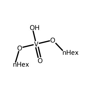 CCCCCC[O][V](=[O])([OH])[O]CCCCCC